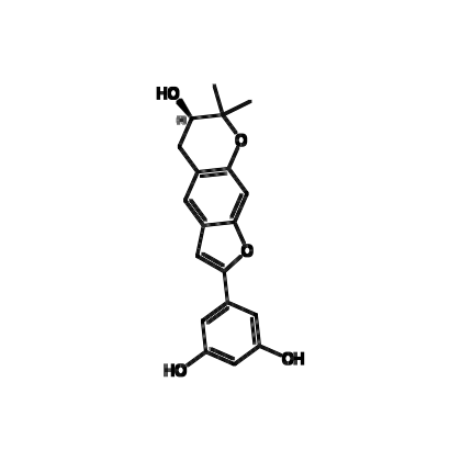 CC1(C)Oc2cc3oc(-c4cc(O)cc(O)c4)cc3cc2C[C@H]1O